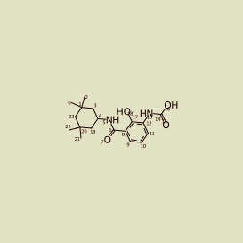 CC1(C)CC(NC(=O)c2cccc(NC(=O)O)c2O)CC(C)(C)C1